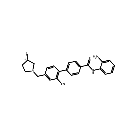 N#Cc1cc(CN2CC[C@@H](F)C2)cnc1-c1ccc(C(=O)Nc2ccccc2N)cc1